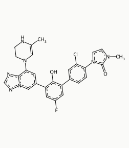 CC1=CN(c2cc(-c3cc(F)cc(-c4ccc(-n5ccn(C)c5=O)c(Cl)c4)c3O)cn3ncnc23)CCN1